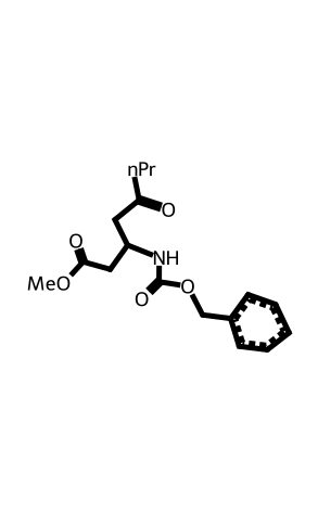 CCCC(=O)CC(CC(=O)OC)NC(=O)OCc1ccccc1